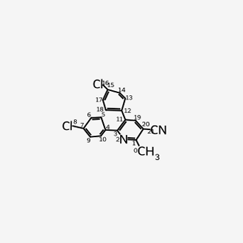 Cc1nc(-c2ccc(Cl)cc2)c(-c2ccc(Cl)cc2)cc1C#N